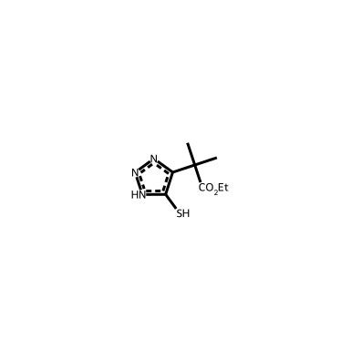 CCOC(=O)C(C)(C)c1nn[nH]c1S